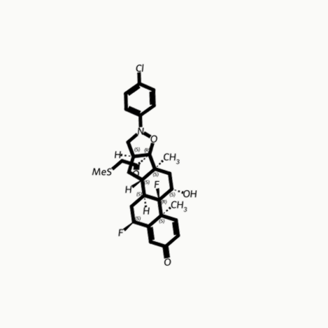 CSCC(=O)[C@@]12ON(c3ccc(Cl)cc3)C[C@@H]1C[C@H]1[C@@H]3C[C@H](F)C4=CC(=O)C=C[C@]4(C)[C@@]3(F)[C@@H](O)C[C@@]12C